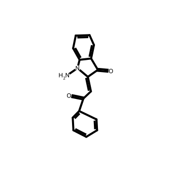 NN1/C(=C\C(=O)c2ccccc2)C(=O)c2ccccc21